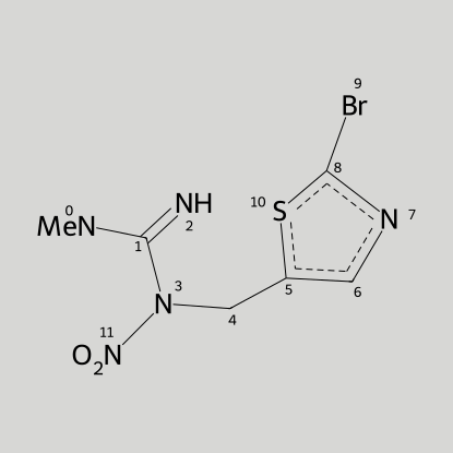 CNC(=N)N(Cc1cnc(Br)s1)[N+](=O)[O-]